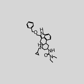 CCN(CC)C(=O)N[C@H]1CC2c3cccc4[nH]c(COCc5ccccc5)c(c34)C[C@H]2N(CC2CC2)C1